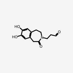 O=CCCN1CCc2cc(O)c(O)cc2CC1=O